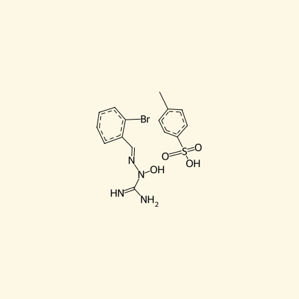 Cc1ccc(S(=O)(=O)O)cc1.N=C(N)N(O)N=Cc1ccccc1Br